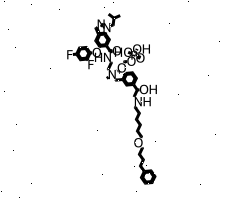 CC(C)Cn1ncc2cc(Oc3ccc(F)cc3F)c(C(=O)NCC[N+](C)(C)Cc3cc(C(O)CNCCCCCCOCCCCc4ccccc4)ccc3OCOP(=O)(O)O)cc21